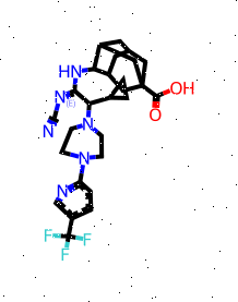 N#C/N=C(/NC1C2CC3CC1CC(C(=O)O)(C3)C2)C(C1CC1)N1CCN(c2ccc(C(F)(F)F)cn2)CC1